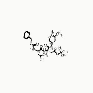 CC(C)C[C@@H](C=O)NC(=O)[C@H](CC(=O)OC(C)(C)C)NC(=O)[C@H](CC(C)C)NC(=O)OCc1ccccc1